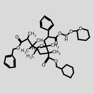 CC(C(=O)OCc1ccccc1)C(C)(C)C(C)(C)CC(C)(C(=O)OCC1CCCCC1)C(C)(C)CC(C(=O)OBOC1CCCCO1)c1ccccc1